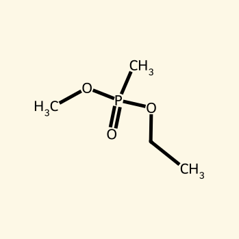 CCOP(C)(=O)OC